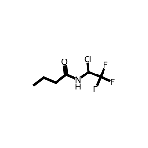 CCCC(=O)NC(Cl)C(F)(F)F